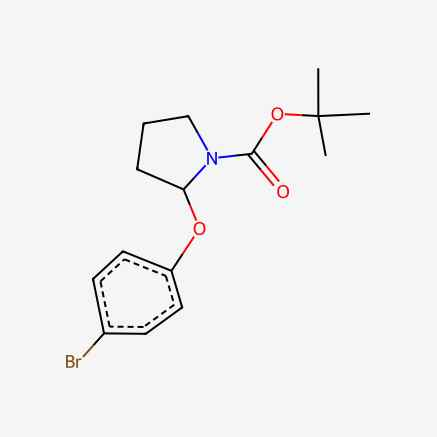 CC(C)(C)OC(=O)N1CCCC1Oc1ccc(Br)cc1